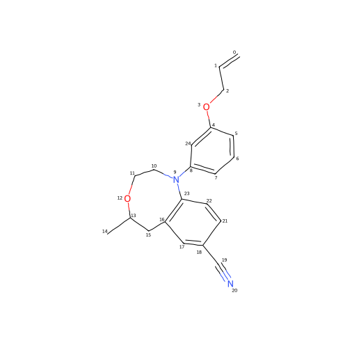 C=CCOc1cccc(N2CCOC(C)Cc3cc(C#N)ccc32)c1